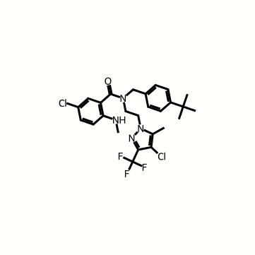 CNc1ccc(Cl)cc1C(=O)N(CCn1nc(C(F)(F)F)c(Cl)c1C)Cc1ccc(C(C)(C)C)cc1